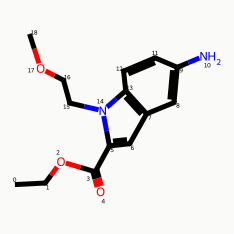 CCOC(=O)c1cc2cc(N)ccc2n1CCOC